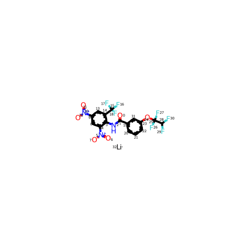 O=C(Nc1c([N+](=O)[O-])cc([N+](=O)[O-])cc1C(F)(F)F)c1cccc(OC(F)(F)C(F)F)c1.[Li]